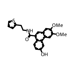 COc1cc2cc(C(=O)NCCc3cccs3)c3ccc(O)cc3c2cc1OC